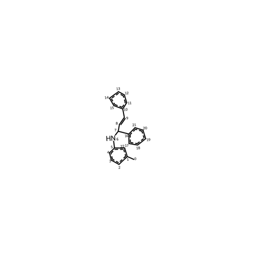 Cc1cccc(NC(C=Cc2ccccc2)c2ccccc2)c1